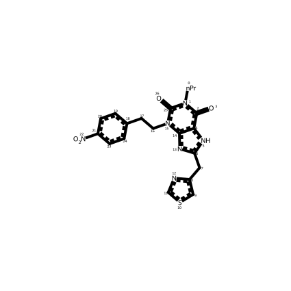 CCCn1c(=O)c2[nH]c(Cc3cscn3)nc2n(CCc2ccc([N+](=O)[O-])cc2)c1=O